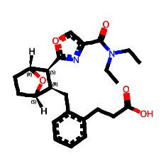 CCN(CC)C(=O)c1coc([C@H]2[C@@H](Cc3ccccc3CCC(=O)O)[C@@H]3CC[C@H]2O3)n1